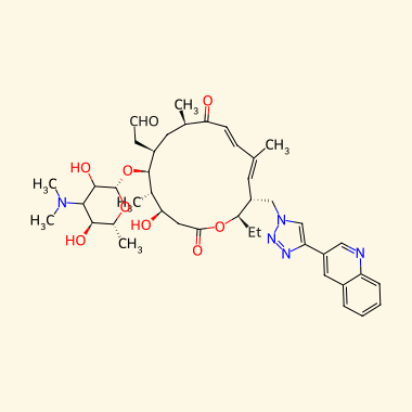 CC[C@H]1OC(=O)C[C@@H](O)[C@H](C)[C@@H](O[C@@H]2O[C@H](C)[C@@H](O)C(N(C)C)C2O)[C@@H](CC=O)C[C@@H](C)C(=O)/C=C/C(C)=C/[C@@H]1Cn1cc(-c2cnc3ccccc3c2)nn1